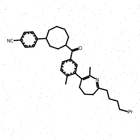 CC1=C(c2cc(C(=O)C3CCCCC(c4ccc(C#N)cc4)CC3)ccc2C)CCCC(CCCCC(C)C)=N1